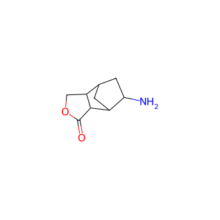 NC1CC2CC1C1C(=O)OCC21